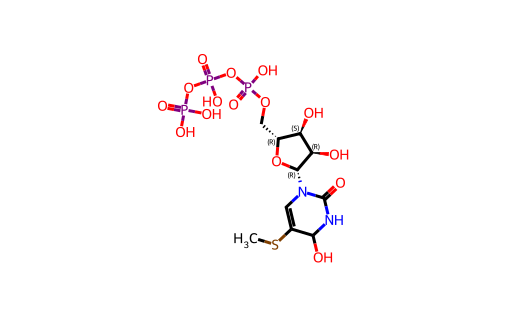 CSC1=CN([C@@H]2O[C@H](COP(=O)(O)OP(=O)(O)OP(=O)(O)O)[C@@H](O)[C@H]2O)C(=O)NC1O